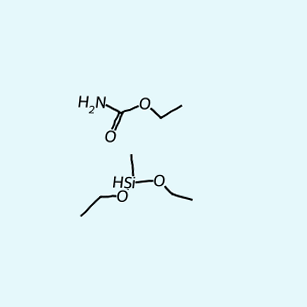 CCOC(N)=O.CCO[SiH](C)OCC